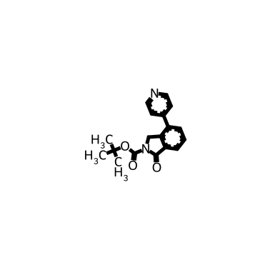 CC(C)(C)OC(=O)N1Cc2c(cccc2-c2ccncc2)C1=O